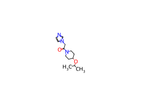 CC(C)OC1CCN(C(=O)Cn2ccnc2)CC1